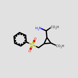 NC(C(=O)O)C1C(CS(=O)(=O)c2ccccc2)C1C(=O)O